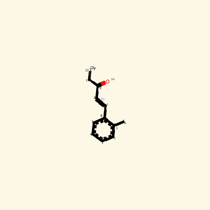 Cc1ccccc1/C=C/C(=O)CC(C)C